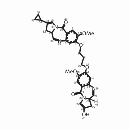 COc1cc2c(cc1OCCCOc1cc3c(cc1OC)C(=O)N1C=C(O)C[C@H]1C=N3)N=CC1CC(C3CC3)=CN1C2=O